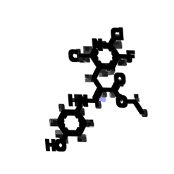 CCOC(=O)/C(=C/Nc1ccc(O)cc1)Cc1cc(F)c(Cl)nc1Cl